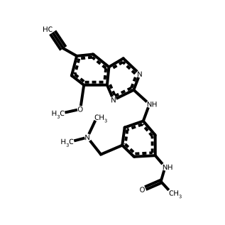 C#Cc1cc(OC)c2nc(Nc3cc(CN(C)C)cc(NC(C)=O)c3)ncc2c1